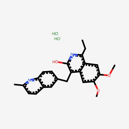 CCc1nc(O)c(Cc2ccc3nc(C)ccc3c2)c2cc(OC)c(OC)cc12.Cl.Cl